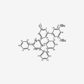 CC(C)(C)c1cc(-c2cc(Cl)cc(-c3nc(-c4ccccc4)nc(-c4ccccc4-c4ccccc4)n3)c2)cc(C(C)(C)C)c1